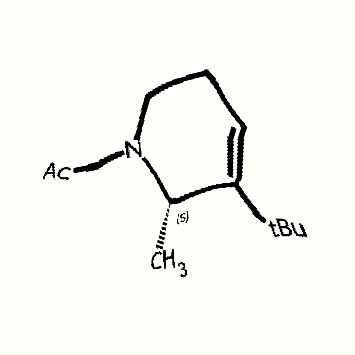 CC(=O)N1CCC=C(C(C)(C)C)[C@@H]1C